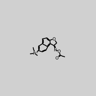 CC(=O)ON=C1COc2ccc3cc([N+](C)(C)C)ccc3c21